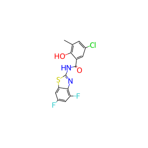 Cc1cc(Cl)cc(C(=O)Nc2nc3c(F)cc(F)cc3s2)c1O